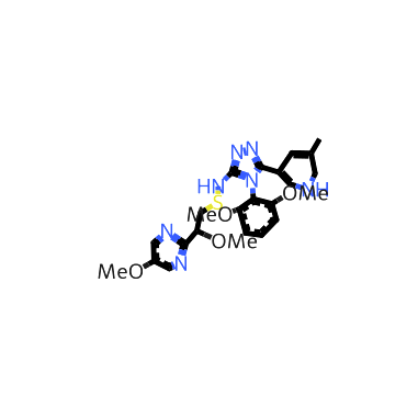 COc1cnc(C(CSNc2nnc(C3=CNCC(C)=C3)n2-c2c(OC)cccc2OC)OC)nc1